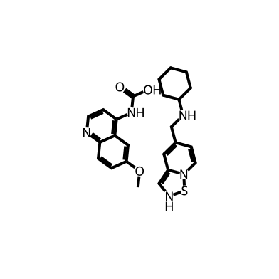 C1=CN2SNC=C2C=C1CNC1CCCCC1.COc1ccc2nccc(NC(=O)O)c2c1